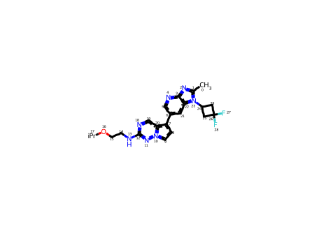 Cc1nc2ncc(-c3ccn4nc(NCCOC(C)C)ncc34)cc2n1C1CC(F)(F)C1